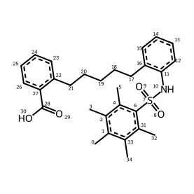 Cc1c(C)c(C)c(S(=O)(=O)Nc2ccccc2CCCCCc2ccccc2C(=O)O)c(C)c1C